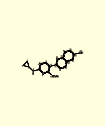 COc1nc(NC2CC2)ncc1-c1ccc2cc(O)ccc2n1